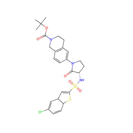 CC(C)(C)OC(=O)N1CCc2cc(N3CC[C@H](NS(=O)(=O)C4=CC5C=C(Cl)C=CC5S4)C3=O)ccc2C1